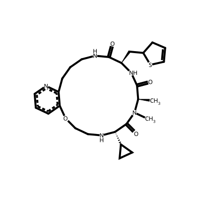 C[C@@H]1C(=O)N[C@H](CC2CC=CS2)C(=O)NCCCc2ncccc2OCCN[C@@H](C2CC2)C(=O)N1C